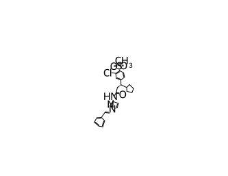 CS(=O)(=O)c1ccc([C@H](CC(=O)Nc2ccn(C=Cc3ccccc3)n2)C2CCCC2)cc1Cl